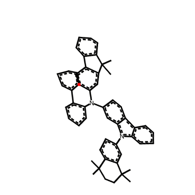 CC1(C)CCC(C)(C)c2cc(-n3c4ccccc4c4ccc(N(c5ccc6c(c5)C(C)(C)c5ccccc5-6)c5ccccc5-c5ccccc5)cc43)ccc21